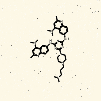 Cc1cc(N(C)C)c2cc(Nc3nc(Nc4ccc5nc(C)cc(N(C)C)c5c4)nc(N4CCN(CCCN(C)C)CC4)n3)ccc2n1